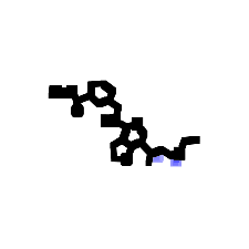 C=C/N=C\C=C(/C)c1cnc(NCc2cccc(C(=O)NC)c2)c2c1OCC2